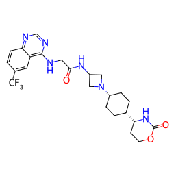 O=C(CNc1ncnc2ccc(C(F)(F)F)cc12)NC1CN([C@H]2CC[C@@H](C3CCOC(=O)N3)CC2)C1